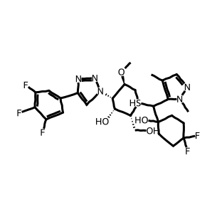 CO[C@H]1C[SH](C(c2c(C)cnn2C)C2(O)CCC(F)(F)CC2)[C@H](CO)[C@H](O)[C@@H]1n1cc(-c2cc(F)c(F)c(F)c2)nn1